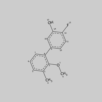 COc1c(C)[c]ccc1-c1ccc(F)c(O)c1